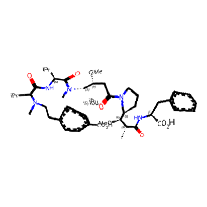 CC[C@H](C)[C@@H]([C@@H](CC(=O)N1CCC[C@H]1[C@H](OC)[C@@H](C)C(=O)N[C@@H](Cc1ccccc1)C(=O)O)OC)N(C)C(=O)[C@@H](NC(=O)C(C(C)C)N(C)CCc1ccc(C(=O)O)cc1)C(C)C